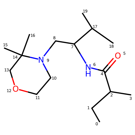 CCC(C)C(=O)NC(CN1CCOCC1(C)C)C(C)C